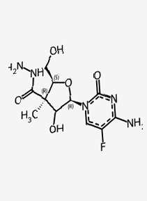 C[C@@]1(C(=O)NN)C(O)[C@H](n2cc(F)c(N)nc2=O)O[C@@H]1CO